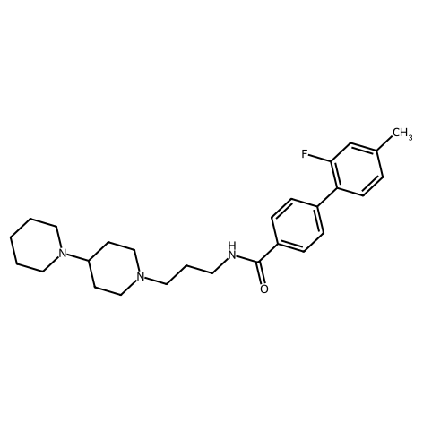 Cc1ccc(-c2ccc(C(=O)NCCCN3CCC(N4CCCCC4)CC3)cc2)c(F)c1